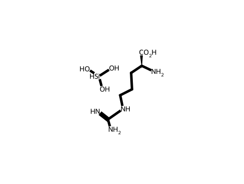 N=C(N)NCCC[C@H](N)C(=O)O.O[SiH](O)O